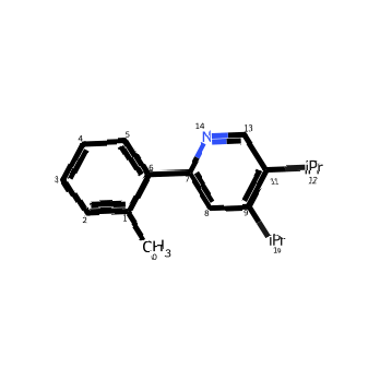 Cc1ccccc1-c1cc(C(C)C)c(C(C)C)cn1